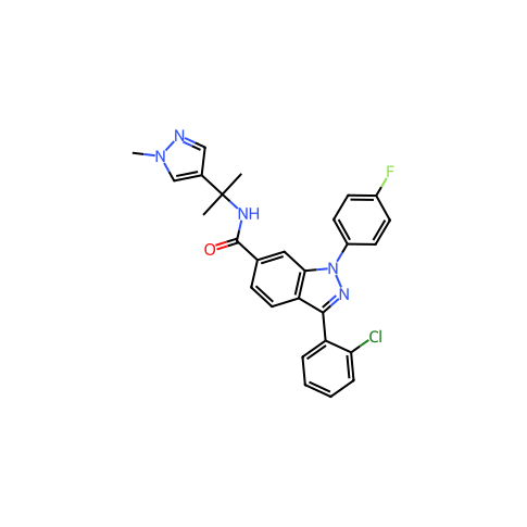 Cn1cc(C(C)(C)NC(=O)c2ccc3c(-c4ccccc4Cl)nn(-c4ccc(F)cc4)c3c2)cn1